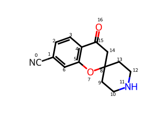 N#Cc1ccc2c(c1)OC1(CCNCC1)CC2=O